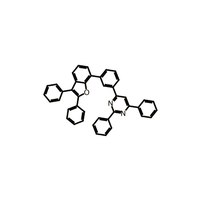 c1ccc(-c2cc(-c3cccc(-c4cccc5c(-c6ccccc6)c(-c6ccccc6)oc45)c3)nc(-c3ccccc3)n2)cc1